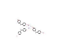 COc1ccc(C(C)c2ccc(Oc3nc(Oc4ccc(C(C)c5ccc(OC)cc5)cc4)nc(Oc4ccc(C(C)c5ccc(OC)cc5)cc4)n3)cc2)cc1